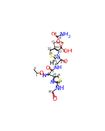 CCO/N=C(\C(=O)NC1C(=O)N2C(C(=O)O)=C(COC(N)=O)CS[C@H]12)c1csc(NC=O)n1